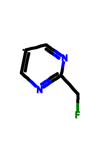 FCc1nc[c]cn1